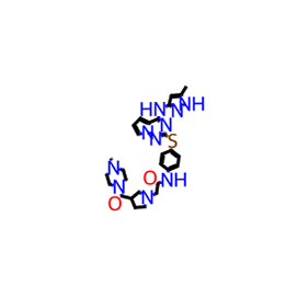 Cc1cc(Nc2nc(Sc3ccc(NC(=O)CN4CCC(C(=O)N5CCN(C)CC5)C4)cc3)nn3cccc23)n[nH]1